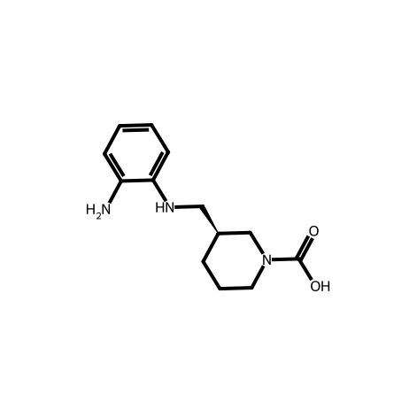 Nc1ccccc1NC[C@@H]1CCCN(C(=O)O)C1